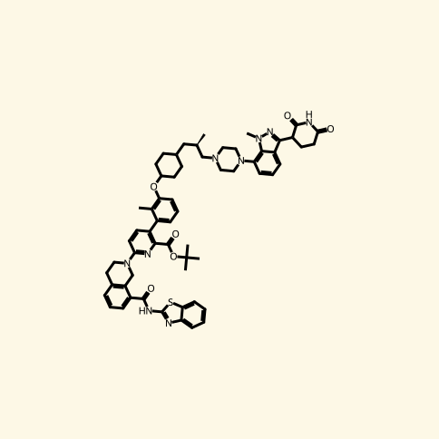 Cc1c(OC2CCC(C[C@@H](C)CN3CCN(c4cccc5c(C6CCC(=O)NC6=O)nn(C)c45)CC3)CC2)cccc1-c1ccc(N2CCc3cccc(C(=O)Nc4nc5ccccc5s4)c3C2)nc1C(=O)OC(C)(C)C